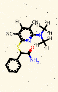 [2H]C([2H])([2H])N(c1nc(SC(C(N)=O)c2ccccc2)c(C#N)c(CC)c1C#N)C([2H])([2H])[2H]